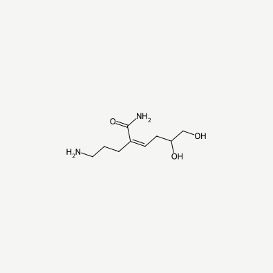 NCCCC(=CCC(O)CO)C(N)=O